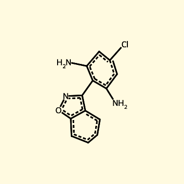 Nc1cc(Cl)cc(N)c1-c1noc2ccccc12